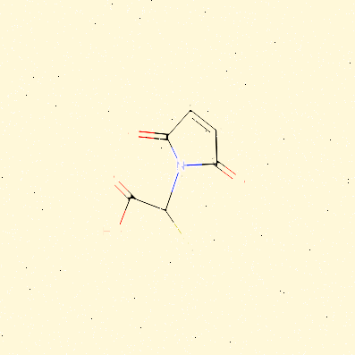 O=C(O)C(S)N1C(=O)C=CC1=O